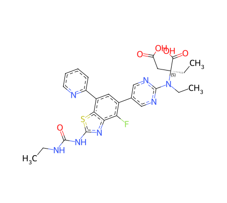 CCNC(=O)Nc1nc2c(F)c(-c3cnc(N(CC)[C@@](CC)(CC(=O)O)C(=O)O)nc3)cc(-c3ccccn3)c2s1